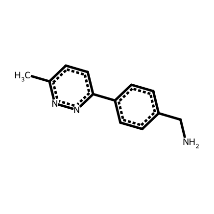 Cc1ccc(-c2ccc(CN)cc2)nn1